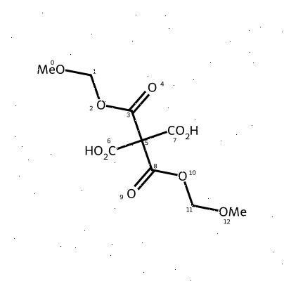 COCOC(=O)C(C(=O)O)(C(=O)O)C(=O)OCOC